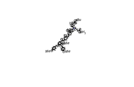 BOC(=O)CCO/N=C(\C(=O)N[C@@H]1C(=O)N2C=C(C[N+]3(C)CC[C@@H](NC(=O)c4ccc(OCc5ccc(OC)cc5)c(OCc5ccc(OC)cc5)c4OC)C[C@H]3CC)CS[C@H]12)c1csc(NC(=O)OC(C)(C)C)n1